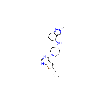 Cn1cc2c(n1)CCC[C@@H]2N[C@H]1CCCN(c2ncnc3sc(CC(F)(F)F)cc23)CC1